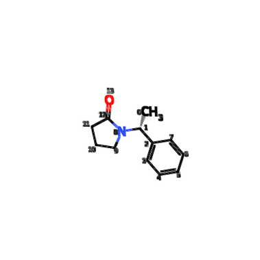 C[C@H](c1ccccc1)N1CCCC1=O